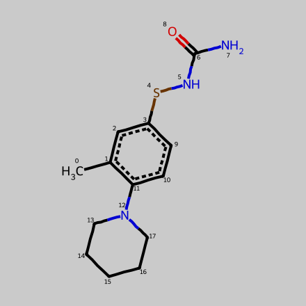 Cc1cc(SNC(N)=O)ccc1N1CCCCC1